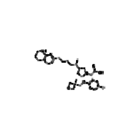 CC1(COc2ccc(F)cc2[C@@H](C(=O)O)N2CCC([C@H](I)CCCCc3ccc4c(n3)NCCC4)C2)COC1